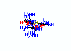 CC(C)[C@H](NC(=O)[C@H](CCCNC(=N)N)NC(=O)[C@H](CS)NC(=O)[C@H](CCCCN)NC(=O)[C@H](CCCNC(=N)N)NC(=O)CNC(=O)[C@H](CCCCN)NC(=O)[C@@H](N)Cc1c[nH]cn1)C(=O)O